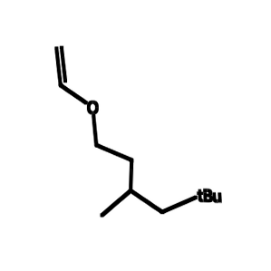 C=COCCC(C)CC(C)(C)C